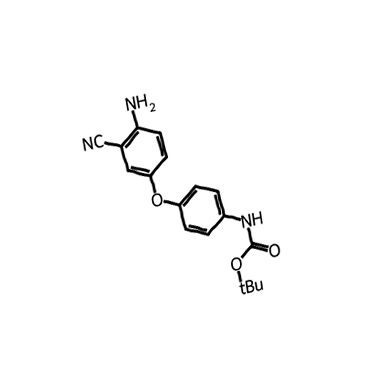 CC(C)(C)OC(=O)Nc1ccc(Oc2ccc(N)c(C#N)c2)cc1